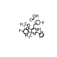 COC(=O)C1=C(CN2C[C@@H](F)C[C@H]2C(=O)O)NC(c2nccs2)=N[C@@]1(C)c1ccc(F)cc1